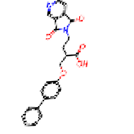 O=C(O)C(CCN1C(=O)c2ccncc2C1=O)COc1ccc(-c2ccccc2)cc1